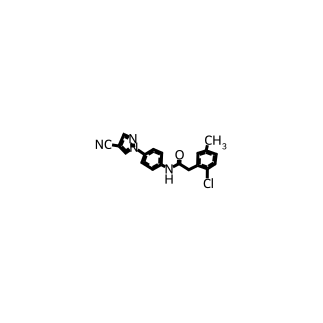 Cc1ccc(Cl)c(CC(=O)Nc2ccc(-n3cc(C#N)cn3)cc2)c1